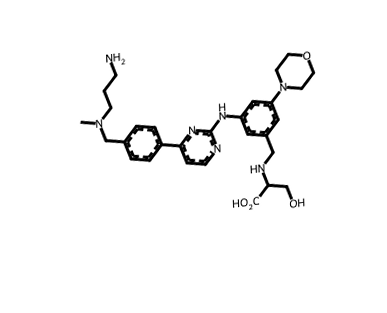 CN(CCCN)Cc1ccc(-c2ccnc(Nc3cc(CNC(CO)C(=O)O)cc(N4CCOCC4)c3)n2)cc1